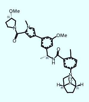 CCN1[C@@H]2CC[C@H]1CN(c1ccc(C)c(C(=O)N[C@H](C)c3cc(OC)cc(-c4cc(C(=O)N5CC[C@H](OC)C5)n(C)c4)c3)c1)C2